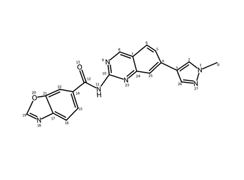 Cn1cc(-c2ccc3cnc(NC(=O)c4ccc5ncoc5c4)nc3c2)cn1